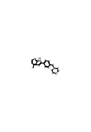 Cc1ccnc2[nH]c(-c3ccc(CN4CCOCC4)cc3)cc12